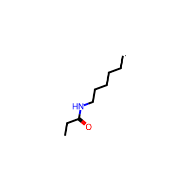 [CH2]CCCCCNC(=O)CC